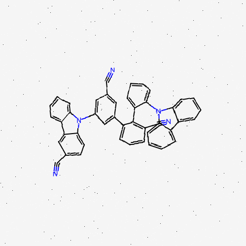 N#Cc1cc(-c2cccc(C#N)c2-c2ccccc2-n2c3ccccc3c3ccccc32)cc(-n2c3ccccc3c3cc(C#N)ccc32)c1